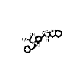 CCC(C)Cn1c(CC2CCCCC2)nc2cc(C(=O)NC(CC3CCCCC3)C(=O)O)ccc21